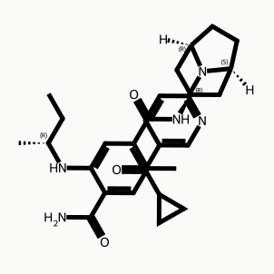 CC[C@@H](C)Nc1cc(C(=O)N[C@H]2C[C@H]3CC[C@@H](C2)N3c2ccc(C(=O)C3CC3)cn2)c(C)cc1C(N)=O